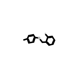 Cc1ccc(OCc2ccccc2I)cc1